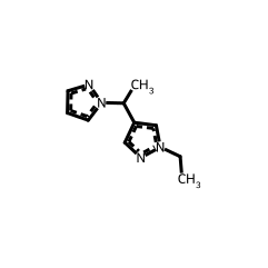 CCn1cc(C(C)n2cccn2)cn1